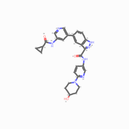 O=C(Nc1ccc(N2CCC(O)CC2)nc1)c1n[nH]c2ccc(-c3cncc(NC(=O)C4CC4)c3)cc12